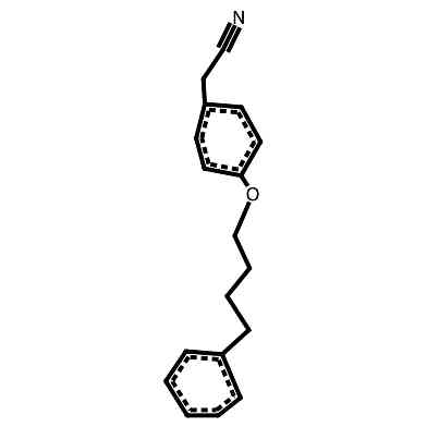 N#CCc1ccc(OCCCCc2ccccc2)cc1